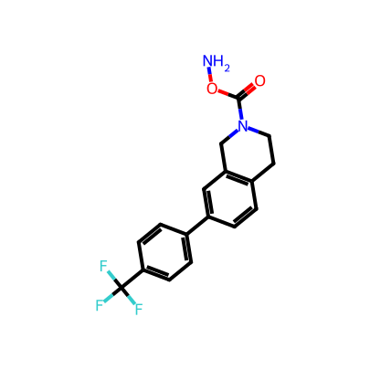 NOC(=O)N1CCc2ccc(-c3ccc(C(F)(F)F)cc3)cc2C1